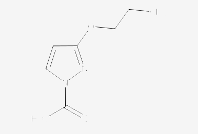 CCCOc1ccn(C(C)=O)n1